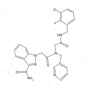 NC(=O)c1nn(CC(=O)N(CC(=O)NCc2cccc(Cl)c2F)Cc2cccnc2)c2ccccc12